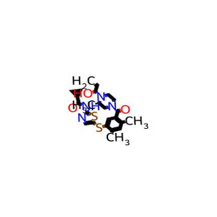 C=CC(O)N1CCN(C(=O)c2cc(Sc3cnc(NC(=O)C4CC4)s3)c(C)cc2C)C[C@H]1C